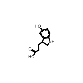 O=C(O)CCC1CNc2ccc(O)cc21